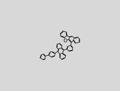 c1ccc(-c2ccc(-c3c4ccccc4c(-c4cccc(-c5c6ccccc6cc6c5oc5ccccc56)c4)c4ccccc34)cc2)cc1